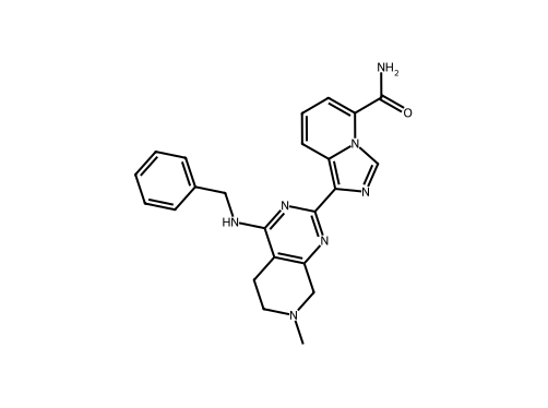 CN1CCc2c(nc(-c3ncn4c(C(N)=O)cccc34)nc2NCc2ccccc2)C1